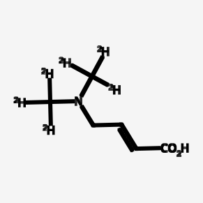 [2H]C([2H])([2H])N(C/C=C/C(=O)O)C([2H])([2H])[2H]